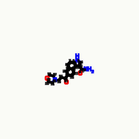 NC(=O)c1c[nH]c2ccc3cc(C(=O)CCN4CCOCC4)ccc3c12